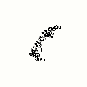 CC(C)(C)OC(=O)NC(C)(c1ncc(-c2ccc(-c3ccc(-c4cnc([C@](C)(NC(=O)OC(C)(C)C)C5(C)CC5)[nH]4)cc3)cc2)[nH]1)C1(C)CC1